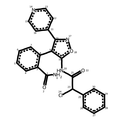 NC(=O)c1ccccc1-c1c(-c2ccncc2)noc1NC(=O)C(Cl)c1ccccc1